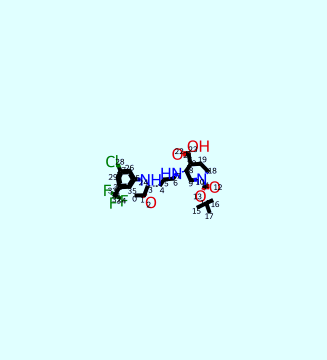 CC(=O)[C@@H](CCCN[C@H]1CN(C(=O)OC(C)(C)C)CCC1C(=O)O)Nc1cc(Cl)cc(C(F)(F)F)c1